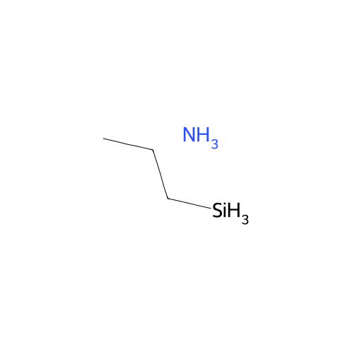 CCC[SiH3].N